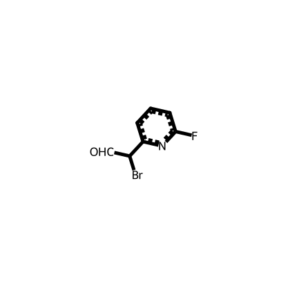 O=CC(Br)c1cccc(F)n1